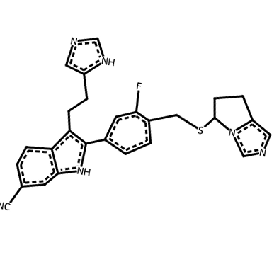 N#Cc1ccc2c(CCc3cnc[nH]3)c(-c3ccc(CSC4CCc5cncn54)c(F)c3)[nH]c2c1